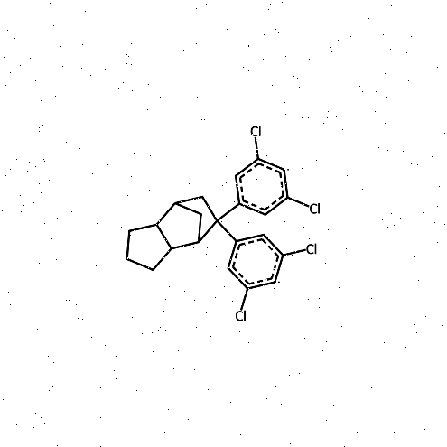 Clc1[c]c(Cl)cc(C2(c3cc(Cl)[c]c(Cl)c3)CC3CC2C2CCCC32)c1